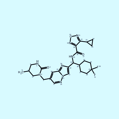 CC1CNC(=O)N(Cc2cnn3cc(C(NC(=O)c4nonc4C4CC4)C4CCC(F)(F)CC4)nc3c2)C1